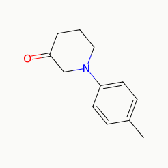 Cc1ccc(N2CCCC(=O)C2)cc1